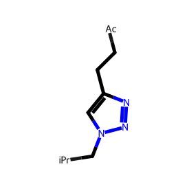 CC(=O)CCc1cn(CC(C)C)nn1